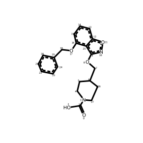 O=C(O)N1CCC(COc2noc3cccc(OCc4ccccc4)c23)CC1